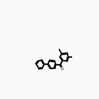 Cc1cc(C)cc(C(=O)c2ccc(-c3ccccc3)cc2)c1